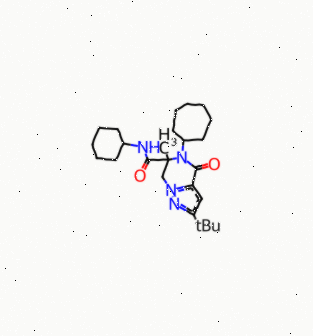 CC(C)(C)c1cc2n(n1)CC(C)(C(=O)NC1CCCCC1)N(C1CCCCCC1)C2=O